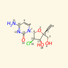 C#C[C@]1(CO)O[C@@H](n2ccc(N)nc2=O)[C@H](Cl)[C@@H]1O